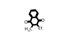 CCC1C(=O)c2ccccc2C(=O)C1C